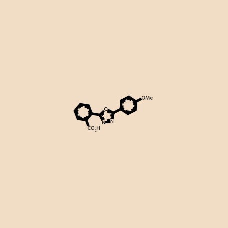 COc1ccc(-c2nnc(-c3ccccc3C(=O)O)o2)cc1